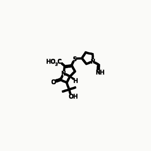 CC(C)(O)C1C(=O)N2C(C(=O)O)=C(SC3CCN(C=N)C3)C[C@H]12